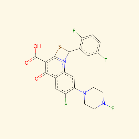 O=C(O)c1c2n(c3cc(N4CCN(F)CC4)c(F)cc3c1=O)C(c1cc(F)ccc1F)S2